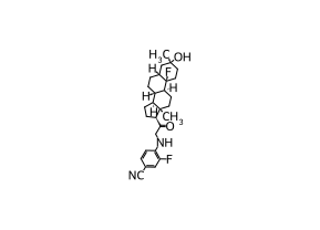 C[C@@]1(O)CC[C@@]2(F)[C@H](CC[C@H]3[C@@H]4CC[C@H](C(=O)CNc5ccc(C#N)cc5F)[C@@]4(C)CC[C@@H]32)C1